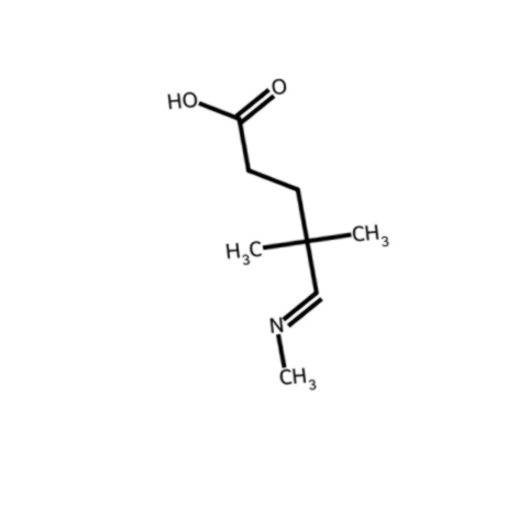 CN=CC(C)(C)CCC(=O)O